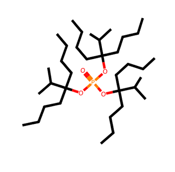 CCCCC(CCCC)(OP(=O)(OC(CCCC)(CCCC)C(C)C)OC(CCCC)(CCCC)C(C)C)C(C)C